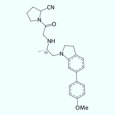 COc1ccc(-c2ccc3c(c2)N(C[C@H](C)NCC(=O)N2CCCC2C#N)CC3)cc1